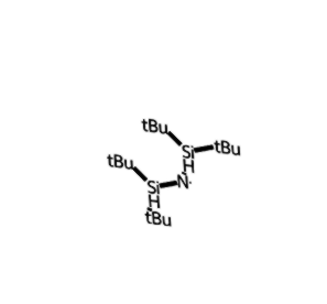 CC(C)(C)[SiH]([N][SiH](C(C)(C)C)C(C)(C)C)C(C)(C)C